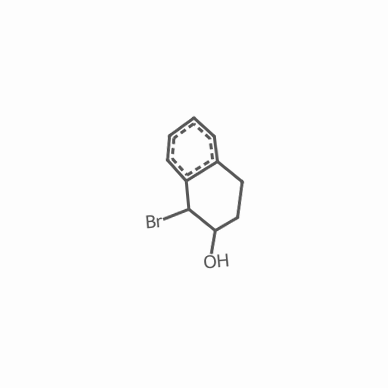 OC1CCc2ccccc2C1Br